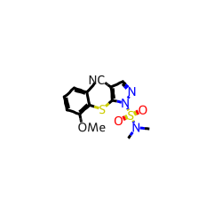 COc1cccc(C)c1Sc1c(C#N)cnn1S(=O)(=O)N(C)C